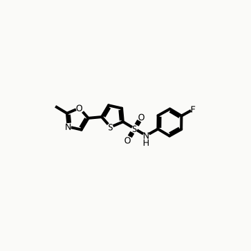 Cc1ncc(-c2ccc(S(=O)(=O)Nc3ccc(F)cc3)s2)o1